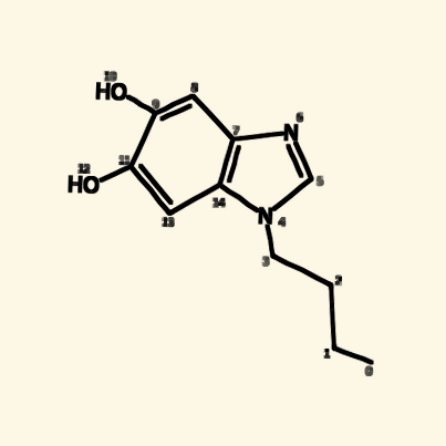 CCCCn1cnc2cc(O)c(O)cc21